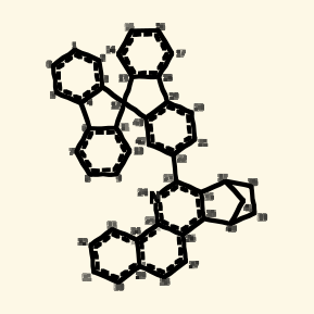 c1ccc2c(c1)-c1ccccc1C21c2ccccc2-c2ccc(-c3nc4c(ccc5ccccc54)c4c3C3CCC4C3)cc21